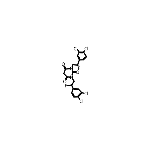 O=C1CC(=O)N(CC(F)c2ccc(Cl)c(Cl)c2)C(=O)N1CC(F)c1ccc(Cl)c(Cl)c1